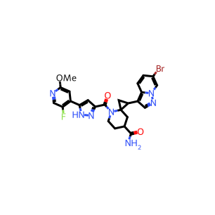 COc1cc(-c2cc(C(=O)N3CCC(C(N)=O)CC34CC4c3cnn4cc(Br)ccc34)n[nH]2)c(F)cn1